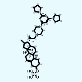 CC1C[C@H]2[C@@H]3CC=C4CC(OP(=O)(O)O)CC[C@]4(C)[C@H]3CC[C@]2(C)[C@H]1C(=O)CN1CCN(c2cc(N3CCCC3)nc(N3CCCC3)n2)CC1